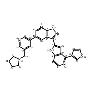 c1cc2[nH]c(-c3n[nH]c4ncc(-c5cncc(CN6CCCC6)c5)cc34)cc2c(-c2ccsc2)n1